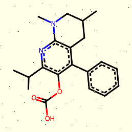 CC1Cc2c(nc(C(C)C)c(OC(=O)O)c2-c2ccccc2)N(C)C1